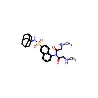 CNCC(=O)N(C(=O)CNC)c1cccc2cc(S(=O)(=O)NC34CC5CC(CC(C5)C3)C4)ccc12